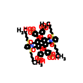 CCCCCCSc1cccc(SCCCCCC)c1N1C(=O)c2cc(Oc3ccc(S(=O)(=O)O)cc3)c3c4c(Oc5ccc(S(=O)(=O)O)cc5)cc5c6c(cc(Oc7ccc(S(=O)(=O)O)cc7)c(c7c(Oc8ccc(S(=O)(=O)O)cc8)cc(c2c37)C1=O)c64)C(=O)N(c1c(SCCCCCC)cccc1SCCCCCC)C5=O